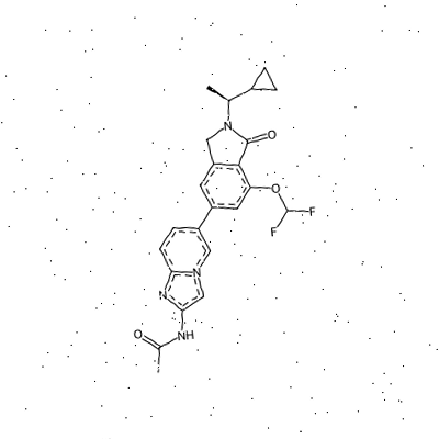 CC(=O)Nc1cn2cc(-c3cc4c(c(OC(F)F)c3)C(=O)N([C@@H](C)C3CC3)C4)ccc2n1